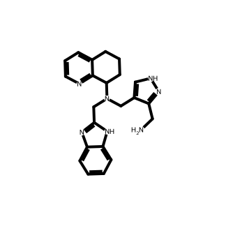 NCc1n[nH]cc1CN(Cc1nc2ccccc2[nH]1)C1CCCc2cccnc21